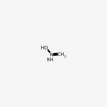 C=NO.[KH]